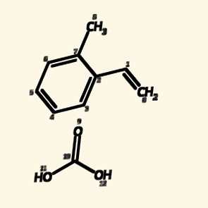 C=Cc1ccccc1C.O=C(O)O